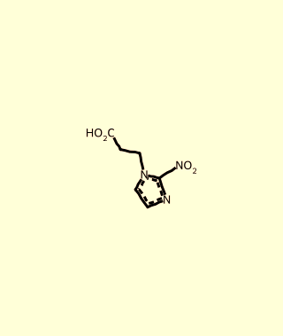 O=C(O)CCn1ccnc1[N+](=O)[O-]